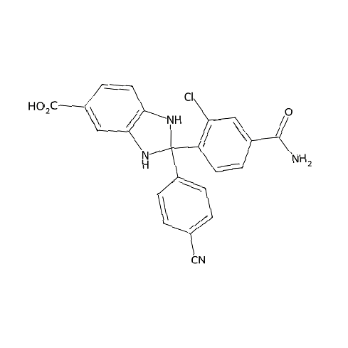 N#Cc1ccc(C2(c3ccc(C(N)=O)cc3Cl)Nc3ccc(C(=O)O)cc3N2)cc1